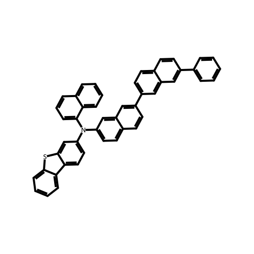 c1ccc(-c2ccc3ccc(-c4ccc5ccc(N(c6ccc7c(c6)sc6ccccc67)c6cccc7ccccc67)cc5c4)cc3c2)cc1